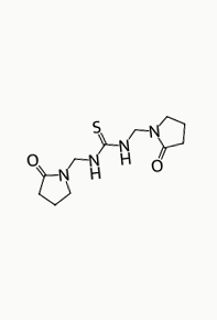 O=C1CCCN1CNC(=S)NCN1CCCC1=O